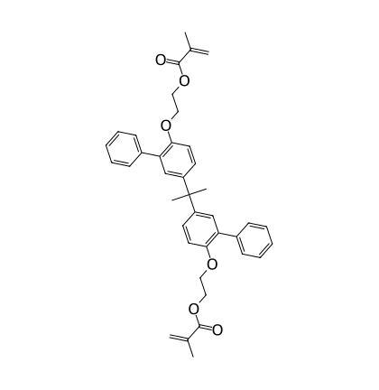 C=C(C)C(=O)OCCOc1ccc(C(C)(C)c2ccc(OCCOC(=O)C(=C)C)c(-c3ccccc3)c2)cc1-c1ccccc1